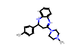 Cc1ccc(C2CC(N3CCN(C)CC3)=Nc3ccccc3N2)cc1